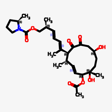 CC(=O)O[C@H]1/C=C/[C@H](C)[C@@H](/C(C)=C/C=C/[C@@H](C)COC(=O)N2CCC[C@@H]2C)C(=O)C(=O)C[C@@H](O)CC[C@]1(C)O